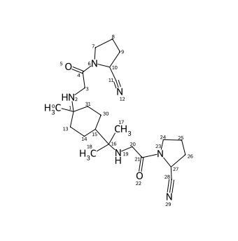 CC1(NCC(=O)N2CCCC2C#N)CCC(C(C)(C)NCC(=O)N2CCCC2C#N)CC1